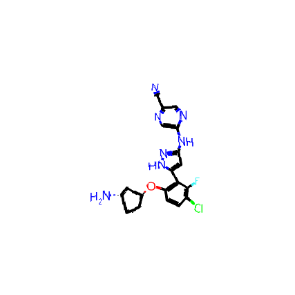 N#Cc1cnc(Nc2cc(-c3c(O[C@@H]4CC[C@H](N)C4)ccc(Cl)c3F)[nH]n2)cn1